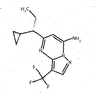 CC[C@H](c1cc(N)n2ncc(C(F)(F)F)c2n1)C1CC1